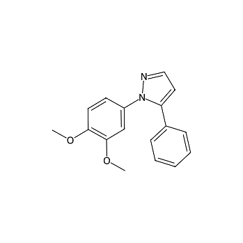 COc1ccc(-n2nccc2-c2ccccc2)cc1OC